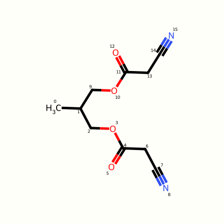 CC(COC(=O)CC#N)COC(=O)CC#N